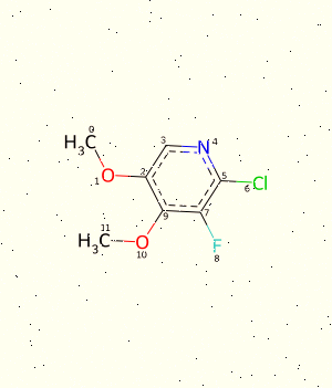 COc1cnc(Cl)c(F)c1OC